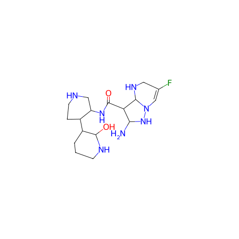 NC1NN2C=C(F)CNC2C1C(=O)NC1CNCCC1C1CCCNC1O